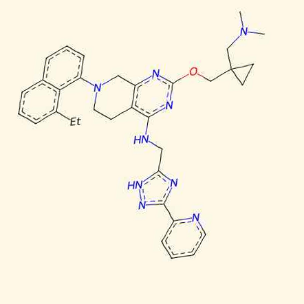 CCc1cccc2cccc(N3CCc4c(nc(OCC5(CN(C)C)CC5)nc4NCc4nc(-c5ccccn5)n[nH]4)C3)c12